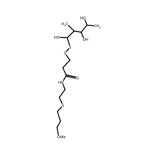 COCCCSCCNC(=O)CCSSC(O)C(C)C(O)C(C)O